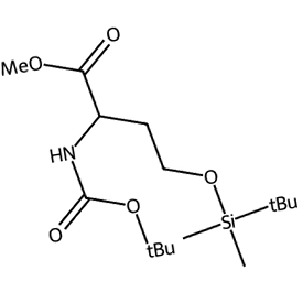 COC(=O)C(CCO[Si](C)(C)C(C)(C)C)NC(=O)OC(C)(C)C